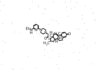 CCNc1cccc(N2CCN(CC(=O)[C@H]3C(C)C[C@H]4[C@@H]5CCC6=CC(=O)C=C[C@]6(C)C5=CC[C@]34C)CC2)n1